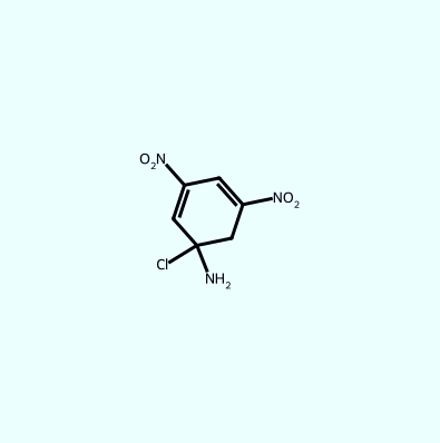 NC1(Cl)C=C([N+](=O)[O-])C=C([N+](=O)[O-])C1